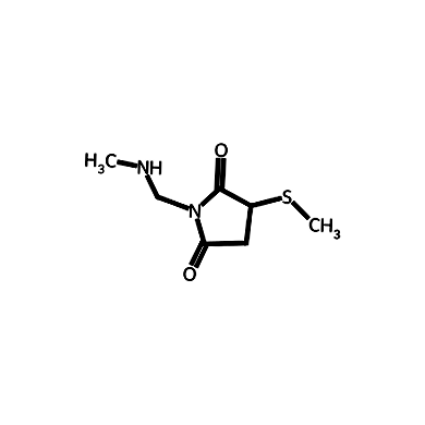 CNCN1C(=O)CC(SC)C1=O